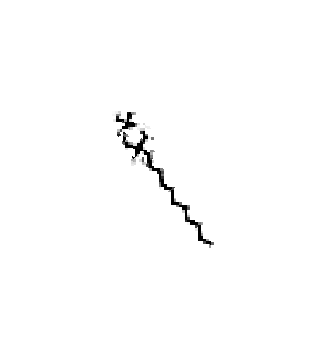 CCCCCCCCCCCC1(N)COC(C)(C)OC1